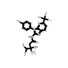 CC(O)(CC(=O)Nc1nc2ccc(C(F)(F)F)nc2n1-c1ccc(F)cc1)C(F)F